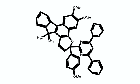 COc1ccc(C2(c3nc(-c4ccccc4)nc(-c4ccccc4)n3)C=Cc3c4c(c5cc(OC)c(OC)cc5c3O2)-c2ccccc2C4(C)C)cc1